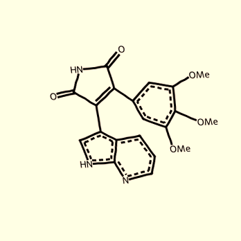 COc1cc(C2=C(c3c[nH]c4ncccc34)C(=O)NC2=O)cc(OC)c1OC